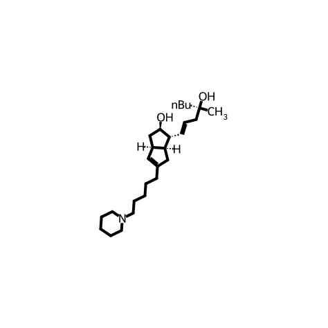 CCCC[C@@](C)(O)C/C=C/[C@@H]1[C@H]2CC(CCCCCN3CCCCC3)=C[C@H]2C[C@H]1O